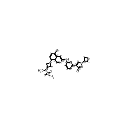 CC(C)c1ccc(N2CC(N(C)S(C)(=O)=O)C2)c2cnc(Nc3ccnc(-c4cn(C5COC5)nc4Cl)n3)cc12